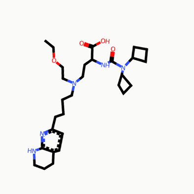 CCOCCN(CCCCc1ccc2c(n1)NCCC2)CCC(NC(=O)N(C1CCC1)C1CCC1)C(=O)O